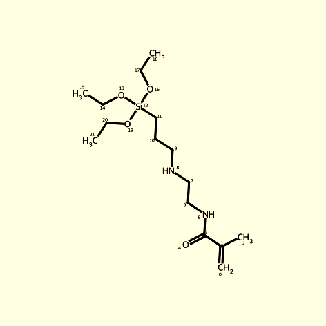 C=C(C)C(=O)NCCNCCC[Si](OCC)(OCC)OCC